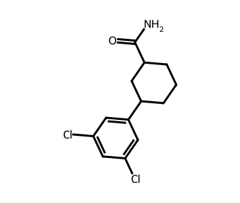 NC(=O)C1CCCC(c2cc(Cl)cc(Cl)c2)C1